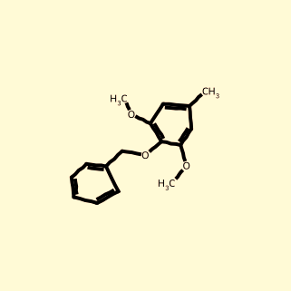 COc1cc(C)cc(OC)c1OCc1ccccc1